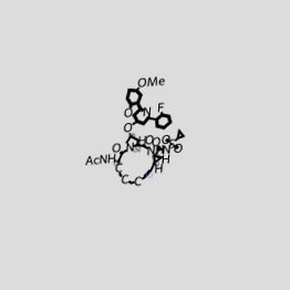 COc1ccc2oc3c(O[C@@H]4C[C@H]5C(=O)N[C@]6(C(=O)NS(=O)(=O)C7CC7)C[C@H]6/C=C\CCCCC[C@H](NC(C)=O)C(=O)N5C4)cc(-c4ccccc4F)nc3c2c1